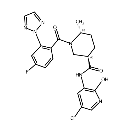 C[C@@H]1CC[C@@H](C(=O)Nc2cc(Cl)cnc2O)CN1C(=O)c1ccc(F)cc1-n1nccn1